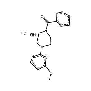 COc1ccnc(N2CCN(C(=O)c3cccnc3)CC2)n1.Cl.Cl